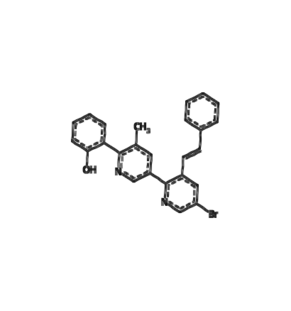 Cc1cc(-c2ncc(Br)cc2C=Cc2ccccc2)cnc1-c1ccccc1O